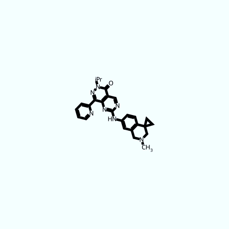 CC(C)n1nc(-c2ccccn2)c2nc(Nc3ccc4c(c3)CN(C)CC43CC3)ncc2c1=O